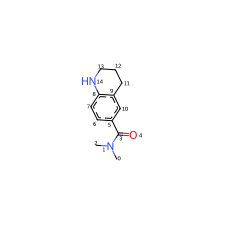 CN(C)C(=O)c1ccc2c(c1)CCCN2